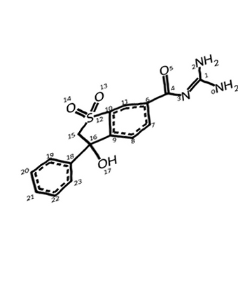 NC(N)=NC(=O)c1ccc2c(c1)S(=O)(=O)CC2(O)c1ccccc1